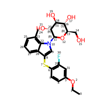 CCOc1ccc(Sc2cn([C@@H]3O[C@H](CO)[C@@H](O)[C@H](O)[C@H]3O)c3c(C)cccc23)c(F)c1